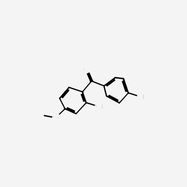 COc1ccc(C(=O)c2ccc(Cl)cc2)c(O)c1